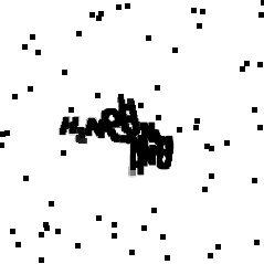 NC(O)CC(O)Nc1ncc2ccoc2n1